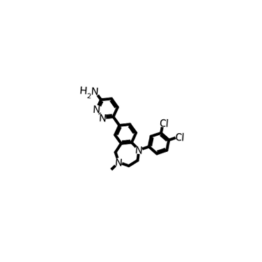 CN1CCN(c2ccc(Cl)c(Cl)c2)c2ccc(-c3ccc(N)nn3)cc2C1